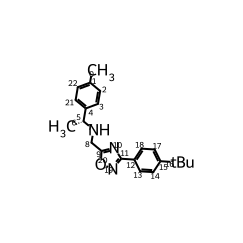 Cc1ccc([C@@H](C)NCc2nc(-c3ccc(C(C)(C)C)cc3)no2)cc1